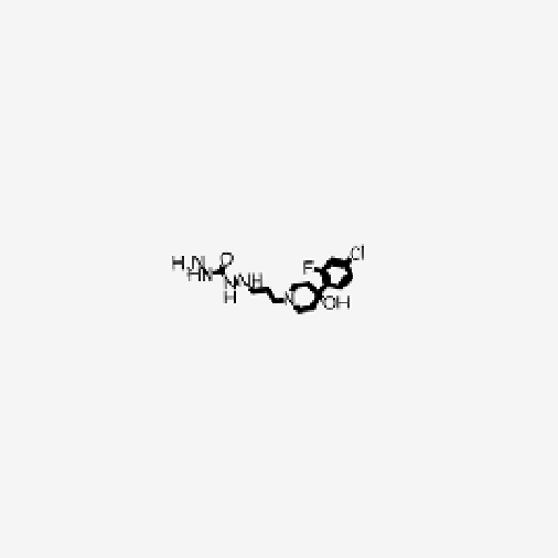 NNC(=O)NNCCCN1CCC(O)(c2ccc(Cl)cc2F)CC1